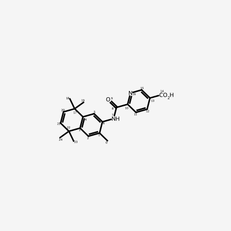 Cc1cc2c(cc1NC(=O)c1ccc(C(=O)O)cn1)C(C)(C)C=CC2(C)C